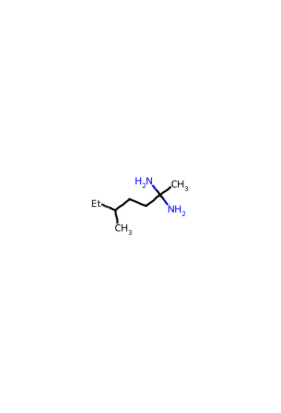 CCC(C)CCC(C)(N)N